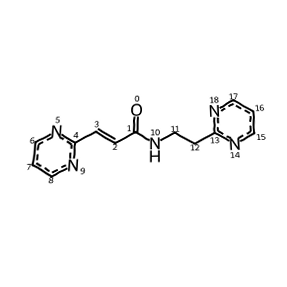 O=C(C=Cc1ncccn1)NCCc1ncccn1